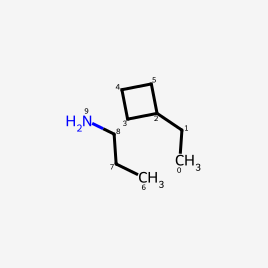 CCC1CCC1.CCCN